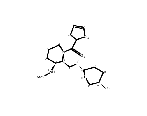 CSN[C@H]1CCCN(C(=O)C2CC=CO2)[C@H]1CO[C@H]1CC[C@@H](C(C)C)CC1